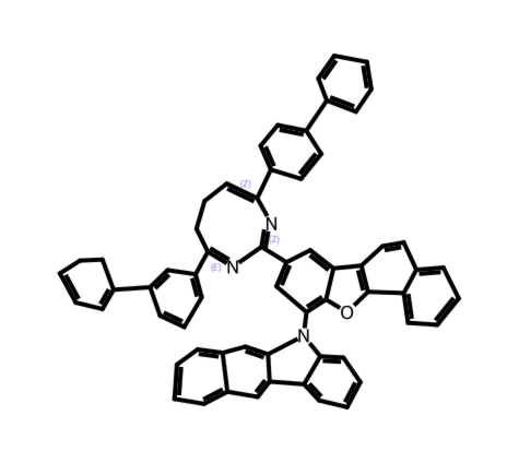 C1=CCCC(c2cccc(/C3=N/C(c4cc(-n5c6ccccc6c6cc7ccccc7cc65)c5oc6c7ccccc7ccc6c5c4)=N\C(c4ccc(-c5ccccc5)cc4)=C/CC3)c2)=C1